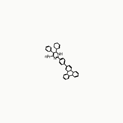 CCCC1=C(c2ccccc2)C(C2C=CCCC2)NC(c2ccc(C3=CC4c5ccccc5C5C=CC=CC5C4C=C3)cc2)=N1